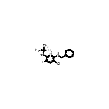 CC(C)(C)Nc1nc(NCc2ccccc2)c(Cl)cc1F